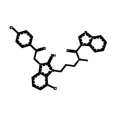 CN(CCCn1c(=N)n(CC(=O)c2ccc(Cl)cc2)c2cccc(Cl)c21)C(=O)c1cnn2ccccc12